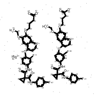 CCOc1cc2c(Oc3ccc(NC(=O)C4(C(=O)Nc5ccc(F)cc5)CC4)cc3F)ccnc2cc1OCCCC(=O)[O-].CCOc1cc2c(Oc3ccc(NC(=O)C4(C(=O)Nc5ccc(F)cc5)CC4)cc3F)ccnc2cc1OCCCC(=O)[O-].[Mg+2]